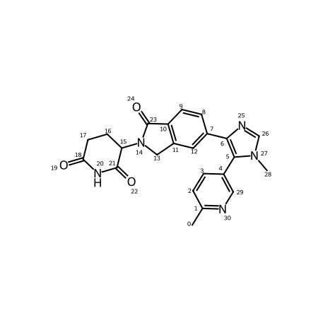 Cc1ccc(-c2c(-c3ccc4c(c3)CN(C3CCC(=O)NC3=O)C4=O)ncn2C)cn1